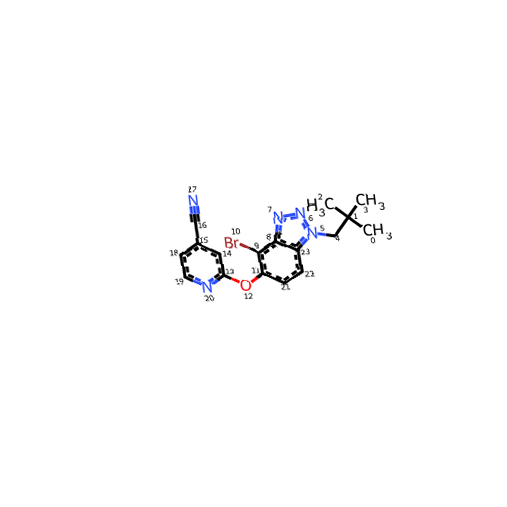 CC(C)(C)Cn1nnc2c(Br)c(Oc3cc(C#N)ccn3)ccc21